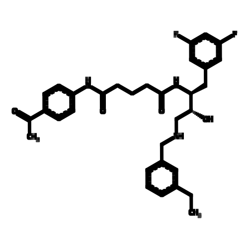 CCc1cccc(CNC[C@@H](O)[C@H](Cc2cc(F)cc(F)c2)NC(=O)CCCC(=O)Nc2ccc(C(C)=O)cc2)c1